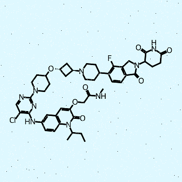 CCC(C)n1c(=O)c(OCC(=O)NC)cc2cc(Nc3nc(N4CCC(O[C@H]5C[C@H](N6CCC(c7ccc8c(c7F)CN(C7CCC(=O)NC7=O)C8=O)CC6)C5)CC4)ncc3Cl)ccc21